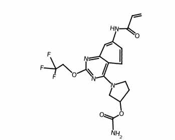 C=CC(=O)Nc1ccc2c(N3CCC(OC(N)=O)C3)nc(OCC(F)(F)F)nc2c1